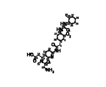 COc1cc(CC(=O)Nc2ccc(C(CC(=O)O)N(C)C(=O)CN)cn2)ccc1NC(=O)Nc1ccccc1C